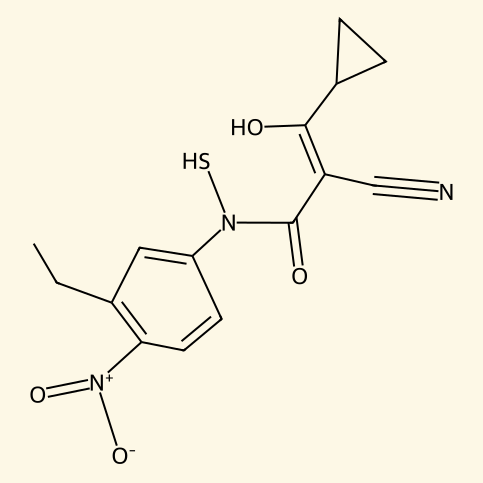 CCc1cc(N(S)C(=O)C(C#N)=C(O)C2CC2)ccc1[N+](=O)[O-]